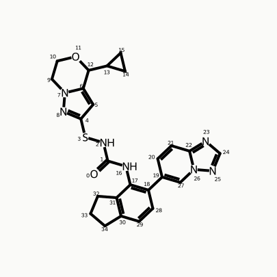 O=C(NSc1cc2n(n1)CCOC2C1CC1)Nc1c(-c2ccc3ncnn3c2)ccc2c1CCC2